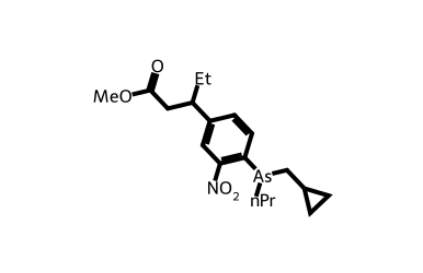 CCC[As](CC1CC1)c1ccc(C(CC)CC(=O)OC)cc1[N+](=O)[O-]